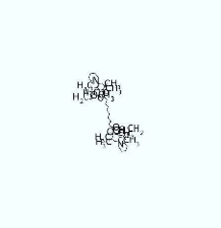 C=CC(=O)C(C)C1=C(N2CCCCC2)CC(C)(C)C(OC(=O)CCCCCCCCC(=O)OC2C(C)(C)CC(N3CCCCC3)=C(C(C)C(=O)C=C)C2(C)C)C1(C)C